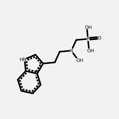 O=P(O)(O)CN(O)CCc1c[nH]c2ccccc12